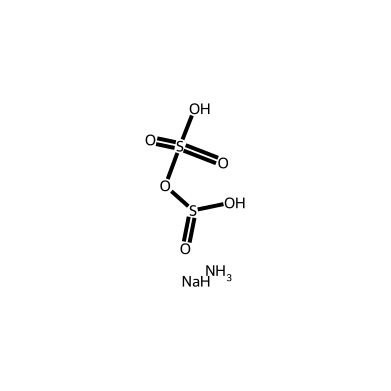 N.O=S(O)OS(=O)(=O)O.[NaH]